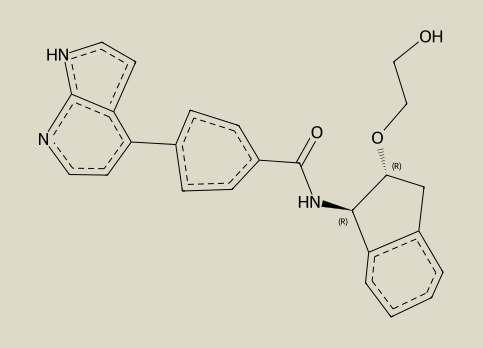 O=C(N[C@@H]1c2ccccc2C[C@H]1OCCO)c1ccc(-c2ccnc3[nH]ccc23)cc1